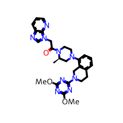 COc1nc(OC)nc(N2CCc3cccc(N4CCN(C(=O)Cn5cnc6cccnc65)[C@H](C)C4)c3C2)n1